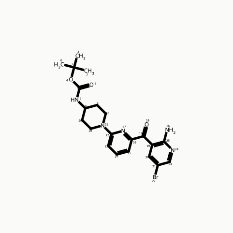 CC(C)(C)OC(=O)NC1CCN(c2cccc(C(=O)c3cc(Br)cnc3N)n2)CC1